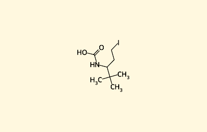 CC(C)(C)C(CCI)NC(=O)O